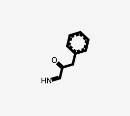 N=CC(=O)Cc1ccccc1